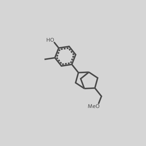 COCC1CC2CC1CC2c1ccc(O)c(C)c1